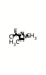 Cc1cn(C)nc1C(F)Cl